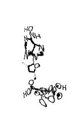 C[C@H]1C[C@@H](COP(=O)(O)OP(=O)(O)OP(=O)(O)O)O[C@H]1n1cnc2c(NO)ncnc21